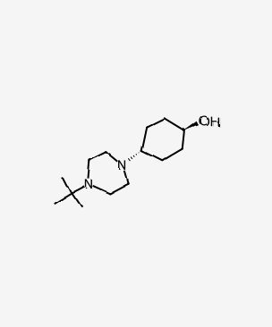 CC(C)(C)N1CCN([C@H]2CC[C@H](O)CC2)CC1